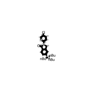 CCC[CH2][Sn]([CH2]CCC)([CH2]CCC)[c]1ccc2c(c1)CN(c1ccc(Cl)cn1)C2=O